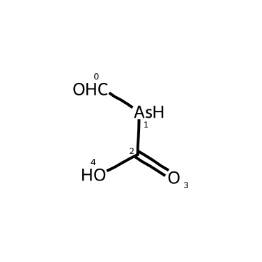 O=C[AsH]C(=O)O